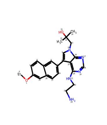 CCOc1ccc2cc(-c3cn(CC(C)(C)O)c4ncnc(NCCN)c34)ccc2c1